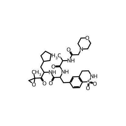 CC(NC(=O)CN1CCOCC1)C(=O)NC(Cc1ccc2c(c1)CCNS2(=O)=O)C(=O)NC(CC1CCCC1)C(=O)C1(C)CO1